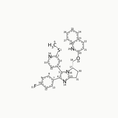 CSc1cc(-c2c(-c3ccc(F)cc3)nc3n2[C@H](COc2ccc4ccccc4n2)CC3)ccn1